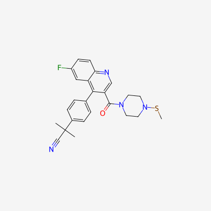 CSN1CCN(C(=O)c2cnc3ccc(F)cc3c2-c2ccc(C(C)(C)C#N)cc2)CC1